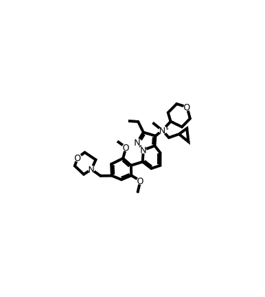 CCc1nn2c(-c3c(OC)cc(CN4CCOCC4)cc3OC)cccc2c1[N+](C)(CC1CC1)C1CCOCC1